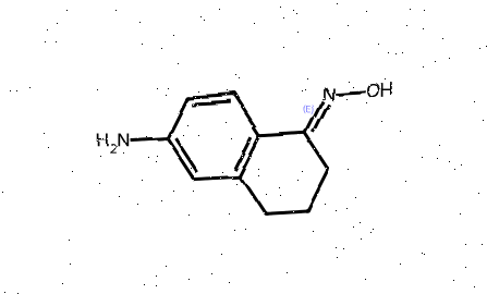 Nc1ccc2c(c1)CCC/C2=N\O